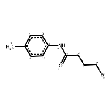 Cc1ccc(NC(=O)CCCBr)cc1